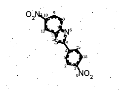 O=[N+]([O-])c1ccc(-c2nc3ccc([N+](=O)[O-])cc3s2)cc1